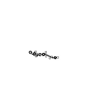 O=C(CCCC(=O)OCc1ccc(Cl)cc1)Nc1ccc(N2CCN(C(=O)Nc3c(Cl)cc(CN4CCCCC4)cc3Cl)CC2)cc1